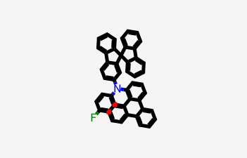 Fc1ccc(N(c2ccc3c(c2)C2(c4ccccc4-c4ccccc42)c2ccccc2-3)c2cccc3c4ccccc4c4ccccc4c23)cc1